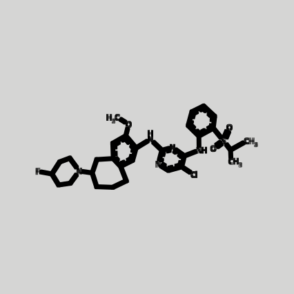 COc1cc2c(cc1Nc1ncc(Cl)c(Nc3ccccc3S(=O)(=O)C(C)C)n1)CCCC(N1CCC(F)CC1)C2